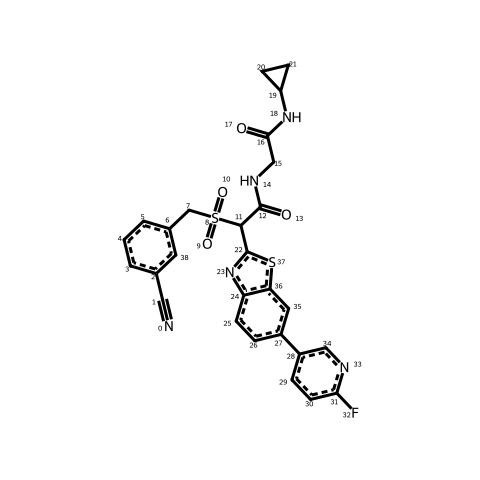 N#Cc1cccc(CS(=O)(=O)C(C(=O)NCC(=O)NC2CC2)c2nc3ccc(-c4ccc(F)nc4)cc3s2)c1